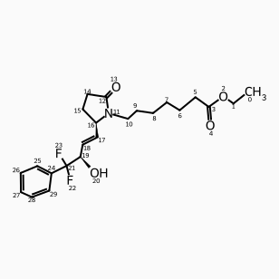 CCOC(=O)CCCCCCN1C(=O)CC[C@@H]1/C=C/[C@@H](O)C(F)(F)c1ccccc1